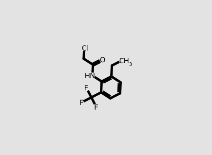 CCc1cccc(C(F)(F)F)c1NC(=O)CCl